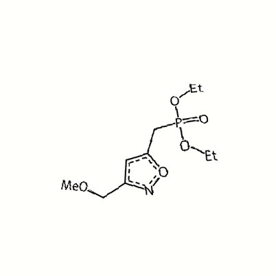 CCOP(=O)(Cc1cc(COC)no1)OCC